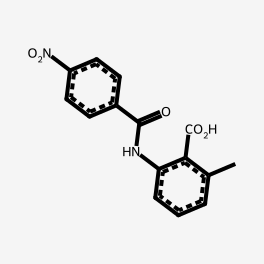 Cc1cccc(NC(=O)c2ccc([N+](=O)[O-])cc2)c1C(=O)O